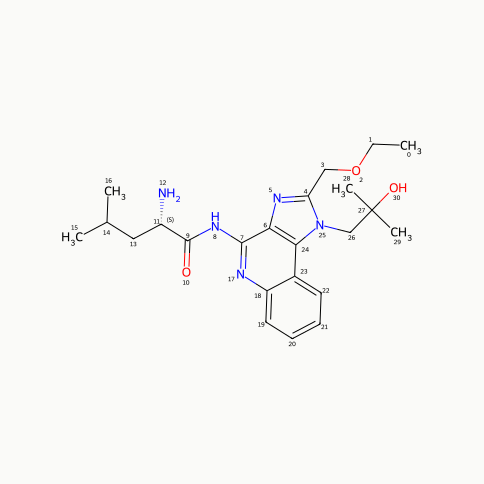 CCOCc1nc2c(NC(=O)[C@@H](N)CC(C)C)nc3ccccc3c2n1CC(C)(C)O